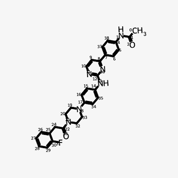 CC(=O)Nc1ccc(-c2ccnc(Nc3ccc(N4CCN(C(=O)Cc5ccccc5F)CC4)cc3)n2)cc1